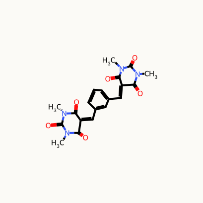 CN1C(=O)C(=Cc2cccc(C=C3C(=O)N(C)C(=O)N(C)C3=O)c2)C(=O)N(C)C1=O